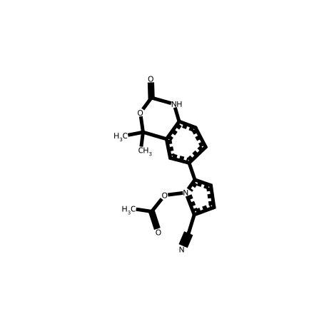 CC(=O)On1c(C#N)ccc1-c1ccc2c(c1)C(C)(C)OC(=O)N2